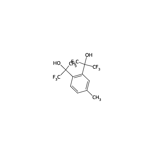 Cc1ccc(C(O)(C(F)(F)F)C(F)(F)F)c(C(O)(C(F)(F)F)C(F)(F)F)c1